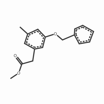 COC(=O)Cc1cc(C)cc(OCc2ccccc2)c1